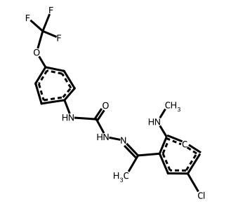 CNc1ccc(Cl)cc1/C(C)=N/NC(=O)Nc1ccc(OC(F)(F)F)cc1